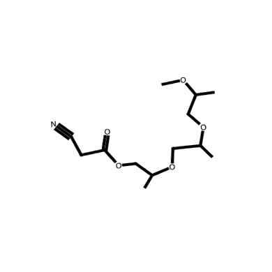 COC(C)COC(C)COC(C)COC(=O)CC#N